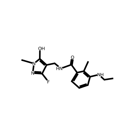 CCNc1cccc(C(=O)NCc2c(F)nn(C)c2O)c1C